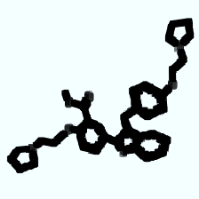 COC(=O)c1cc(-c2sc3ccccc3c2Cc2ccc(OCCN3CCCC3)cc2)ccc1OCCN1CCCC1